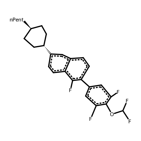 CCCCC[C@H]1CC[C@H](c2ccc3c(F)c(-c4cc(F)c(OC(F)F)c(F)c4)ccc3c2)CC1